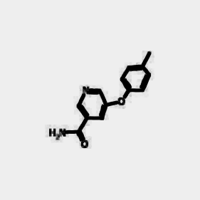 Cc1ccc(Oc2cncc(C(N)=O)c2)cc1